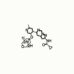 Cc1cc(-c2cc3cc(NC(=O)C4CC4)nn3cn2)c(O[C@H]2C[C@H]3COC[C@@H](C2)N3C)cn1